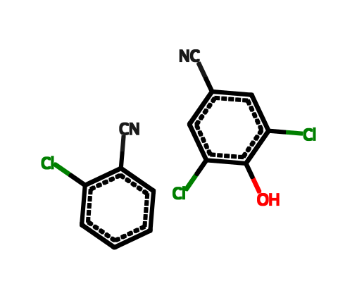 N#Cc1cc(Cl)c(O)c(Cl)c1.N#Cc1ccccc1Cl